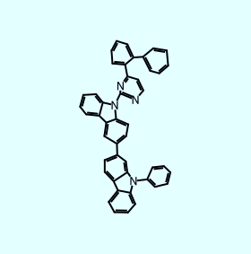 c1ccc(-c2ccccc2-c2ccnc(-n3c4ccccc4c4cc(-c5ccc6c7ccccc7n(-c7ccccc7)c6c5)ccc43)n2)cc1